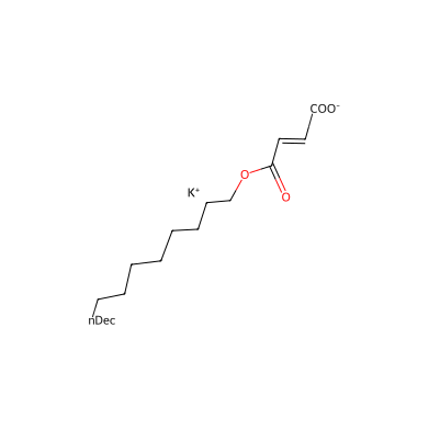 CCCCCCCCCCCCCCCCCCOC(=O)/C=C/C(=O)[O-].[K+]